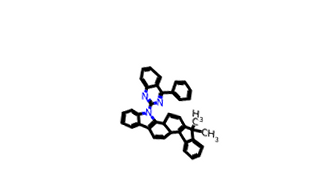 CC1(C)C2=C(c3ccccc31)C1C=Cc3c(n(-c4nc(-c5ccccc5)c5ccccc5n4)c4ccccc34)C1C=C2